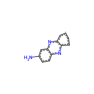 Nc1ccc2nc3cc[c]cc3nc2c1